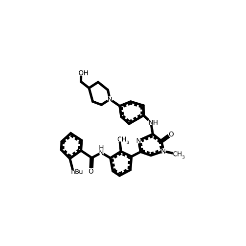 CCCCc1ccccc1C(=O)Nc1cccc(-c2cn(C)c(=O)c(Nc3ccc(N4CCC(CO)CC4)cc3)n2)c1C